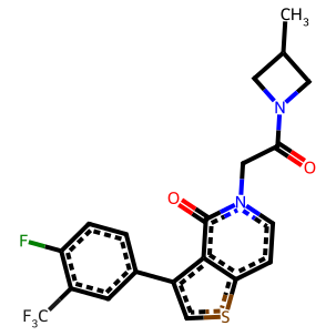 CC1CN(C(=O)Cn2ccc3scc(-c4ccc(F)c(C(F)(F)F)c4)c3c2=O)C1